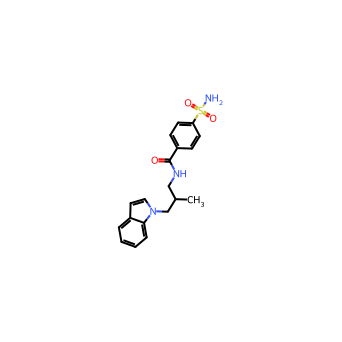 CC(CNC(=O)c1ccc(S(N)(=O)=O)cc1)Cn1ccc2ccccc21